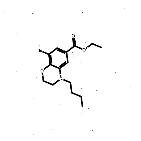 CCCCN1CCOc2c(I)cc(C(=O)OCC)cc21